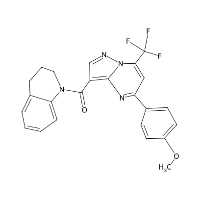 COc1ccc(-c2cc(C(F)(F)F)n3ncc(C(=O)N4CCCc5ccccc54)c3n2)cc1